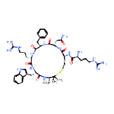 CC1(C)SSCC[C@H](NC(=O)[C@@H](N)CCCNC(=N)N)C(=O)N[C@@H](CC(N)=O)C(=O)N[C@H](Cc2ccccc2)C(=O)N[C@@H](CCCNC(=N)N)C(=O)N[C@@H](Cc2c[nH]c3ccccc23)C(=O)N[C@@H]1C(=O)O